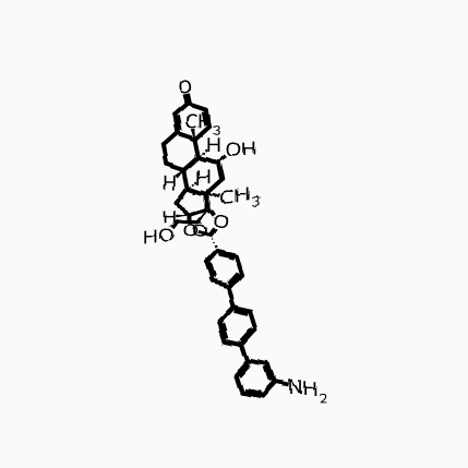 C[C@]12C=CC(=O)C=C1CC[C@@H]1[C@@H]2[C@@H](O)C[C@@]2(C)[C@H]1C[C@H]1O[C@@H](c3ccc(-c4ccc(-c5cccc(N)c5)cc4)cc3)O[C@]12C(=O)CO